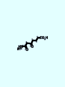 CC(C)NC(=O)CC(=O)CCCC(=O)O